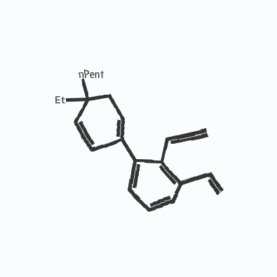 C=Cc1cccc(C2=CCC(CC)(CCCCC)C=C2)c1C=C